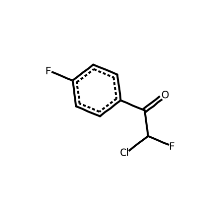 O=C(c1ccc(F)cc1)C(F)Cl